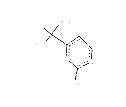 CCCCC(C)(C)c1ccnc(C(F)(F)F)n1